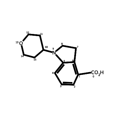 O=C(O)c1cccc2c1CCN2C1CCOCC1